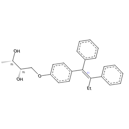 CC/C(=C(/c1ccccc1)c1ccc(OC[C@H](O)[C@H](C)O)cc1)c1ccccc1